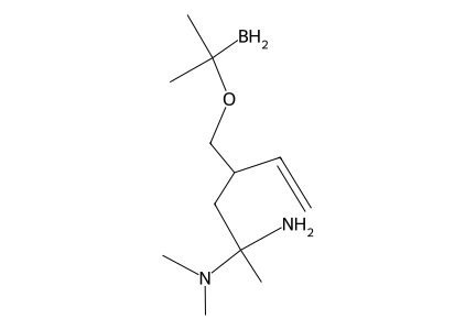 BC(C)(C)OCC(C=C)CC(C)(N)N(C)C